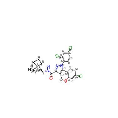 CC1(C)C2CCC(CNC(=O)c3nn(-c4ccc(Cl)cc4Cl)c4c3COc3cc(Cl)ccc3-4)C1C2